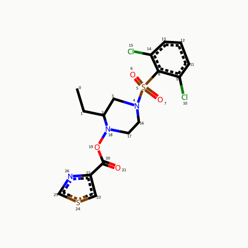 CCC1CN(S(=O)(=O)c2c(Cl)cccc2Cl)CCN1OC(=O)c1cscn1